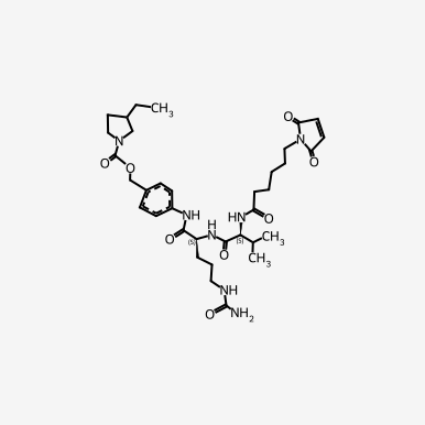 CCC1CCN(C(=O)OCc2ccc(NC(=O)[C@H](CCCNC(N)=O)NC(=O)[C@@H](NC(=O)CCCCCN3C(=O)C=CC3=O)C(C)C)cc2)C1